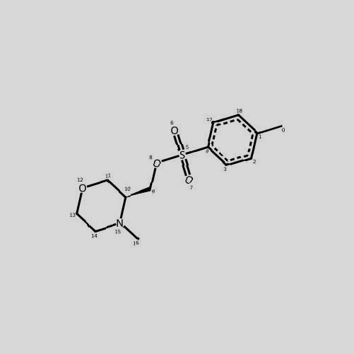 Cc1ccc(S(=O)(=O)OC[C@@H]2COCCN2C)cc1